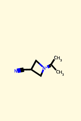 CC(C)=[N+]1CC(C#N)C1